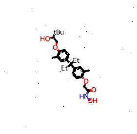 CCC(CC)(c1ccc(OCC(=O)NO)c(C)c1)c1ccc(OCC(O)C(C)(C)C)c(C)c1